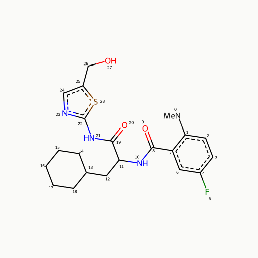 CNc1ccc(F)cc1C(=O)NC(CC1CCCCC1)C(=O)Nc1ncc(CO)s1